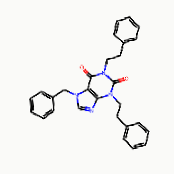 O=c1c2c(ncn2Cc2ccccc2)n(CCc2ccccc2)c(=O)n1CCc1ccccc1